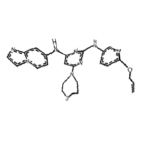 C=CCOc1ccc(Nc2nc(Nc3ccn4ccnc4c3)cc(N3CCOCC3)n2)cn1